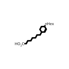 CCCCCCC1C=CC(CCCCCCCC(=O)O)CC1